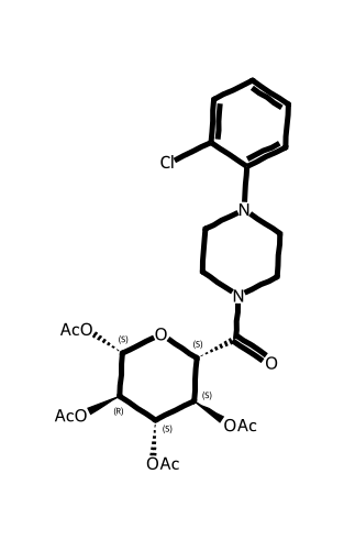 CC(=O)O[C@@H]1O[C@H](C(=O)N2CCN(c3ccccc3Cl)CC2)[C@@H](OC(C)=O)[C@H](OC(C)=O)[C@H]1OC(C)=O